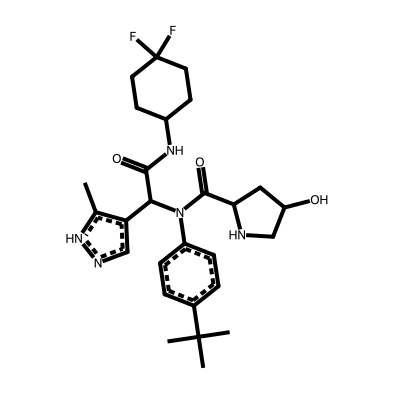 Cc1[nH]ncc1C(C(=O)NC1CCC(F)(F)CC1)N(C(=O)C1CC(O)CN1)c1ccc(C(C)(C)C)cc1